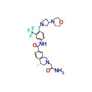 C[C@H]1CN(CC(N)=O)Cc2cc(C(=O)Nc3ccc(CN4CCC(N5CCOCC5)C4)c(C(F)(F)F)c3)ccc21